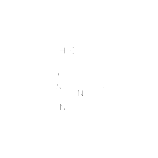 Cc1ccc(Cl)c(N=C2NCCN2)c1Cl